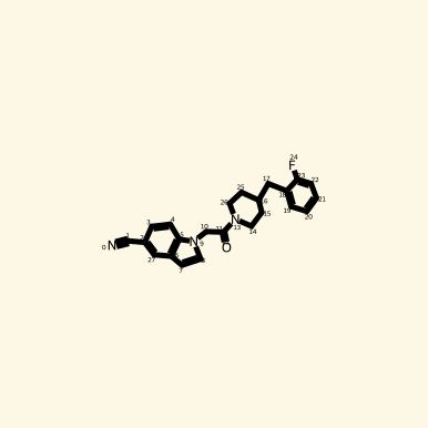 N#Cc1ccc2c(ccn2CC(=O)N2CCC(Cc3ccccc3F)CC2)c1